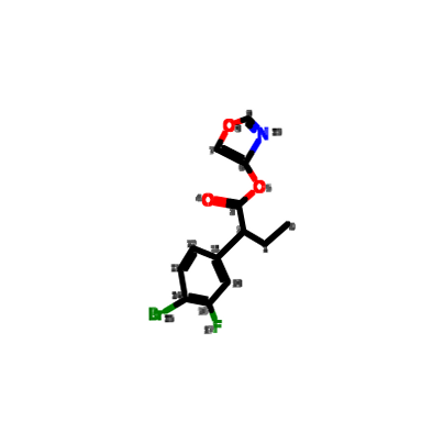 CCC(C(=O)Oc1cocn1)c1ccc(Br)c(F)c1